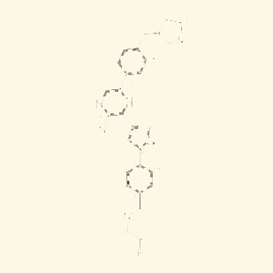 CC(CF)NCc1ccc(-c2cc(-c3nc(-c4ccc(SC5CCOC5)cc4)cnc3N)on2)cc1